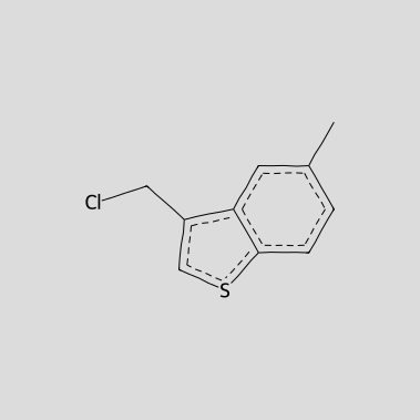 Cc1ccc2scc(CCl)c2c1